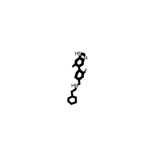 Cc1cc2[nH]cnc2cc1-c1ccc(CNCCC2CCCCC2)cc1F